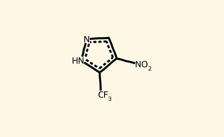 O=[N+]([O-])c1cn[nH]c1C(F)(F)F